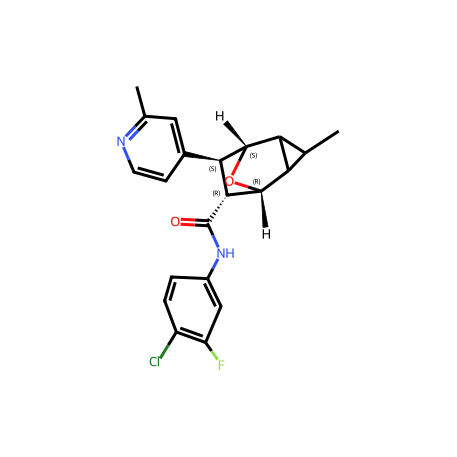 Cc1cc([C@@H]2[C@@H](C(=O)Nc3ccc(Cl)c(F)c3)[C@@H]3O[C@H]2C2C(C)C23)ccn1